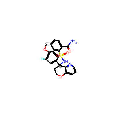 NC(=O)c1ccccc1S(=O)(=O)N[C@]1(c2ccc(OC(F)(F)F)c(F)c2)CCOc2cccnc21